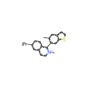 Cc1cc2ccsc2cc1-c1c2ccc(C(C)C)cc2cc[n+]1C